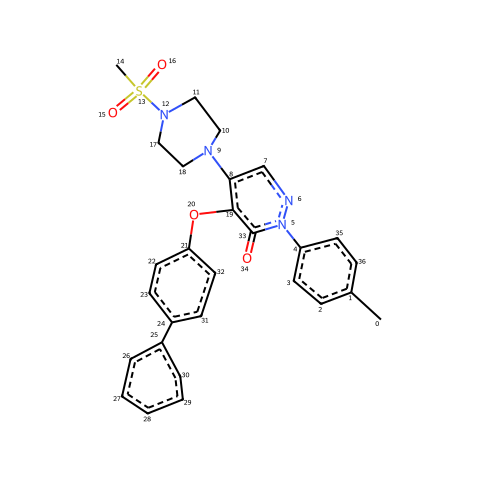 Cc1ccc(-n2ncc(N3CCN(S(C)(=O)=O)CC3)c(Oc3ccc(-c4ccccc4)cc3)c2=O)cc1